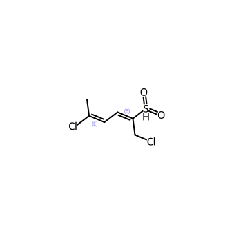 C/C(Cl)=C\C=C(/CCl)[SH](=O)=O